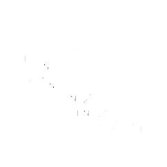 CCOCCN(C)C(=O)N1CCCN(C(=O)Nc2ccc(C(C)(C)C)cc2)CC1